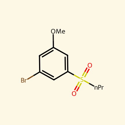 CCCS(=O)(=O)c1cc(Br)cc(OC)c1